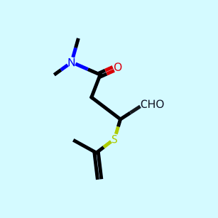 C=C(C)SC(C=O)CC(=O)N(C)C